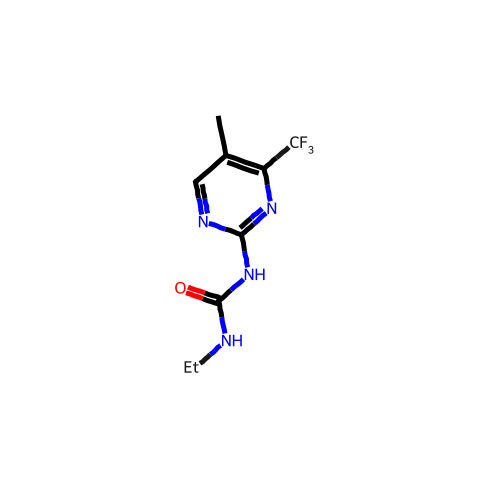 CCNC(=O)Nc1ncc(C)c(C(F)(F)F)n1